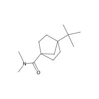 CN(C)C(=O)C12CCC(C(C)(C)C)(CC1)C2